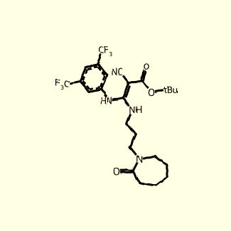 CC(C)(C)OC(=O)C(C#N)=C(NCCCN1CCCCCC1=O)Nc1cc(C(F)(F)F)cc(C(F)(F)F)c1